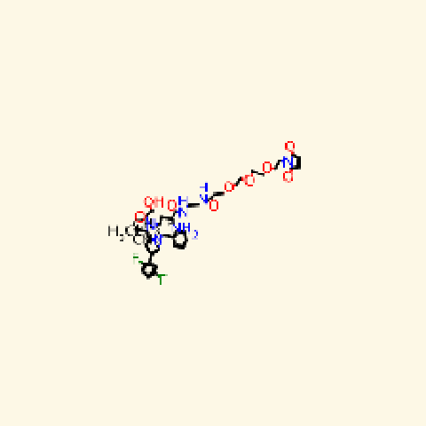 CC(C)(C)[C@H](c1cc(-c2cc(F)ccc2F)cn1Cc1ccccc1)N(CC[C@H](N)C(=O)NCCNC(=O)CCOCCOCCOCCN1C(=O)C=CC1=O)C(=O)CO